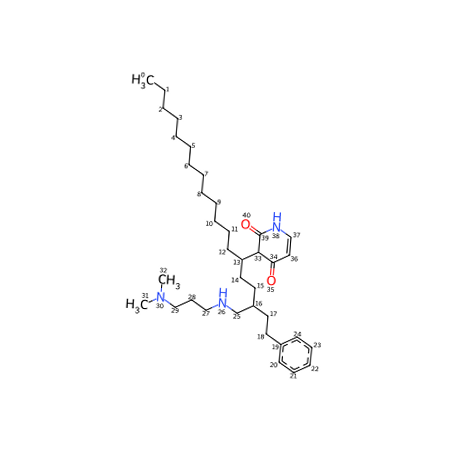 CCCCCCCCCCCCCC(CCC(CCc1ccccc1)CNCCCN(C)C)C1C(=O)C=CNC1=O